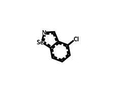 Clc1cccc2[se]ncc12